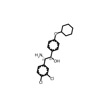 N[C@@H](c1ccc(Cl)c(Cl)c1)[C@H](O)c1ccc(OC2CCCCC2)cc1